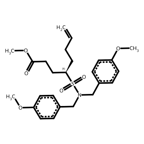 C=CCC[C@H](CCC(=O)OC)S(=O)(=O)N(Cc1ccc(OC)cc1)Cc1ccc(OC)cc1